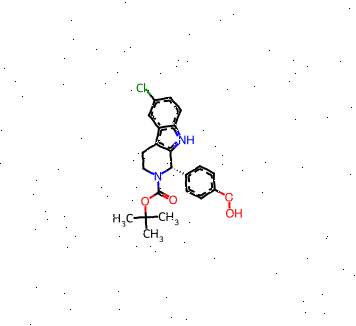 CC(C)(C)OC(=O)N1CCc2c([nH]c3ccc(Cl)cc23)[C@@H]1c1ccc(OO)cc1